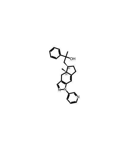 CC(O)(C[C@H]1CCC2=Cc3c(cnn3-c3cccnc3)C[C@@]21C)c1ccccc1